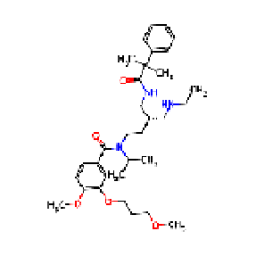 CCNC[C@H](CCN(C(=O)c1ccc(OC)c(OCCCOC)c1)C(C)C)CNC(=O)C(C)(C)c1ccccc1